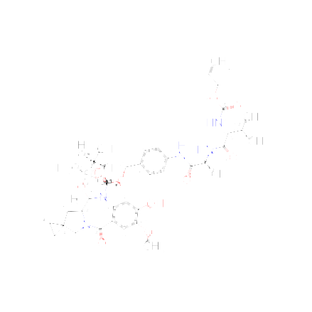 C=CCOC(=O)N[C@@H](C(=O)N[C@@H](C)C(=O)Nc1ccc(COC(=O)N2c3cc(O)c(OC)cc3C(=O)N3CC4(CC4)C[C@H]3C2O[Si](C)(C)C(C)(C)C)cc1)C(C)C